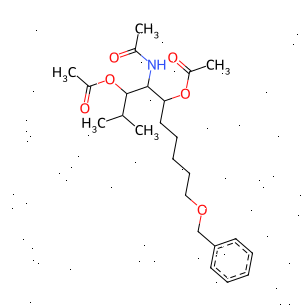 CC(=O)NC(C(CCCCCOCc1ccccc1)OC(C)=O)C(OC(C)=O)C(C)C